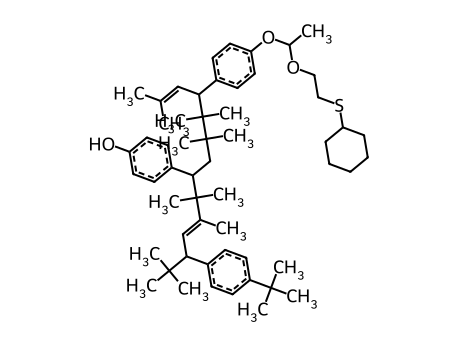 CC(C)=CC(c1ccc(OC(C)OCCSC2CCCCC2)cc1)C(C)(C)C(C)(C)CC(c1ccc(O)cc1)C(C)(C)/C(C)=C/C(c1ccc(C(C)(C)C)cc1)C(C)(C)C